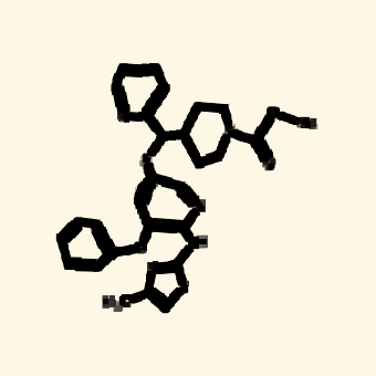 Cc1csc(Nc2ncc(SC(c3ccccn3)C3CCN(C(=O)OC(C)(C)C)CC3)cc2Oc2ccccc2)n1